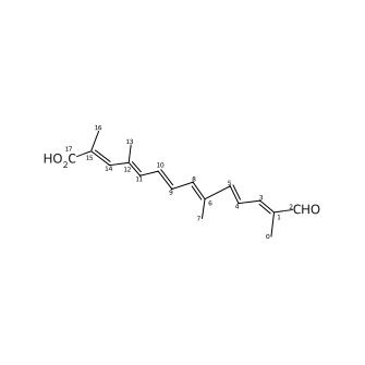 C\C(C=O)=C/C=C/C(C)=C/C=C/C=C(C)/C=C(\C)C(=O)O